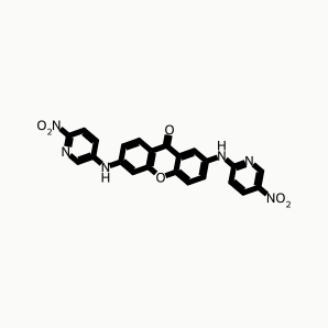 O=c1c2ccc(Nc3ccc([N+](=O)[O-])nc3)cc2oc2ccc(Nc3ccc([N+](=O)[O-])cn3)cc12